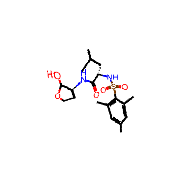 Cc1cc(C)c(S(=O)(=O)N[C@@H](CC(C)C)C(=O)N[C@H]2CCOC2O)c(C)c1